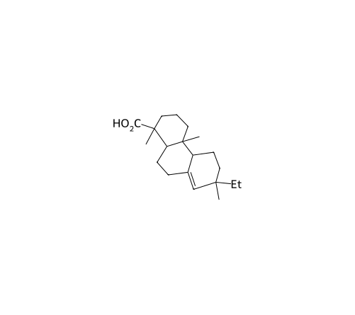 CCC1(C)C=C2CCC3C(C)(C(=O)O)CCCC3(C)C2CC1